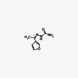 C/C(=N/NC(N)=O)c1ccoc1